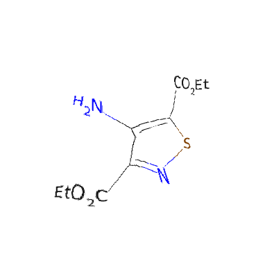 CCOC(=O)c1nsc(C(=O)OCC)c1N